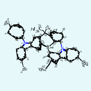 CC(C)(C)c1ccc(-n2c3ccc(C(C)(C)C)cc3c3cc4c(cc32)C(C)(C)c2cccc3c2B4c2cc(C(C)(C)C)cc4c5cc(C(C)(C)C)ccc5n-3c24)cc1